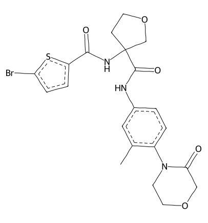 Cc1cc(NC(=O)C2(NC(=O)c3ccc(Br)s3)CCOC2)ccc1N1CCOCC1=O